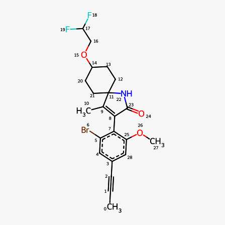 CC#Cc1cc(Br)c(C2=C(C)C3(CCC(OCC(F)F)CC3)NC2=O)c(OC)c1